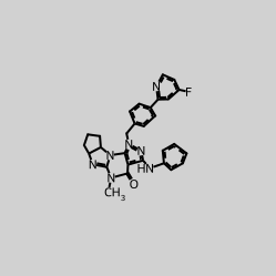 CN1C(=O)c2c(Nc3ccccc3)nn(Cc3ccc(-c4cc(F)ccn4)cc3)c2N2C1=NC1CCCC12